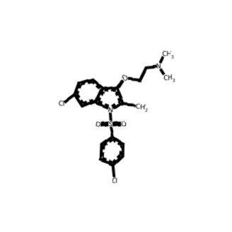 Cc1c(OCCN(C)C)c2ccc(Cl)cc2n1S(=O)(=O)c1ccc(Cl)cc1